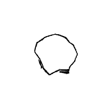 [CH]1/C=C/C/C=C/CCCCCCC1